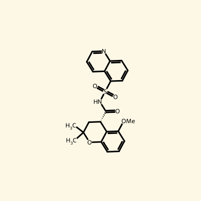 COc1cccc2c1[C@@H](C(=O)NS(=O)(=O)c1cccc3ncccc13)CC(C)(C)O2